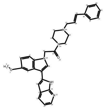 COc1ccc2c(c1)c(-c1cc3cccnc3[nH]1)cn2CC(=O)N1CCN(CC=Cc2ccccc2)CC1